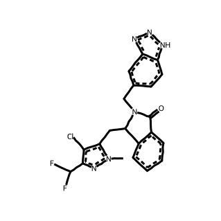 Cn1nc(C(F)F)c(Cl)c1CC1c2ccccc2C(=O)N1Cc1ccc2[nH]nnc2c1